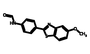 COc1ccc2sc(-c3ccc(NC=O)cc3)nc2c1